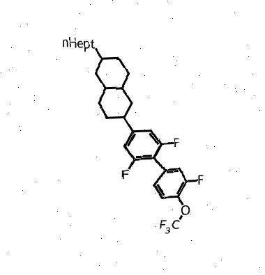 CCCCCCCC1CCC2CC(c3cc(F)c(-c4ccc(OC(F)(F)F)c(F)c4)c(F)c3)CCC2C1